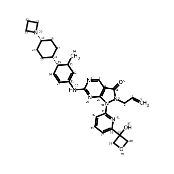 C=CCn1c(=O)c2cnc(NC3=CC(C)C([C@H]4CC[C@@H](N5CCC5)CC4)C=C3)nc2n1-c1cccc(C2(O)COC2)n1